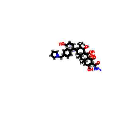 C=C1C(=O)C2=C(O)[C@]3(O)C(=O)C(C(N)=O)=C(O)C[C@@H]3C[C@@H]2C/C1=C(/C=C\CO)c1ccc(CN2CCCC2)cc1